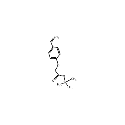 C=Cc1ccc(OCC(=O)O[Si](C)(C)C)cc1